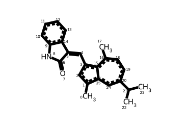 Cc1cc(/C=C2\C(=O)Nc3ccccc32)c2c(C)ccc(C(C)C)cc1-2